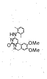 COc1cc2c(cc1OC)-c1cc(Nc3c(C)cccc3C)nc(=O)n1[C@@H](C)C2